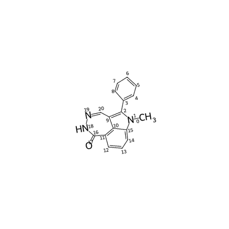 Cn1c(-c2ccccc2)c2c3c(cccc31)C(=O)NN=C2